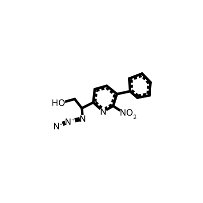 [N-]=[N+]=NC(CO)c1ccc(-c2ccccc2)c([N+](=O)[O-])n1